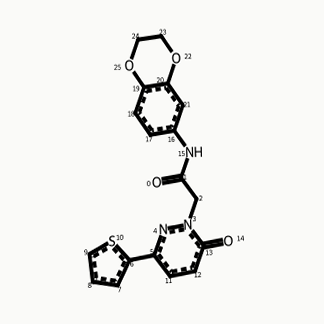 O=C(Cn1nc(-c2cccs2)ccc1=O)Nc1ccc2c(c1)OCCO2